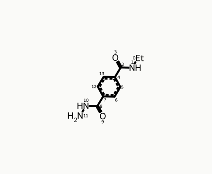 CCNC(=O)c1ccc(C(=O)NN)cc1